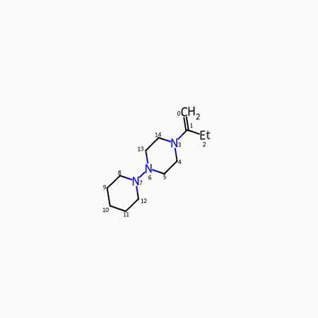 C=C(CC)N1CCN(N2CCCCC2)CC1